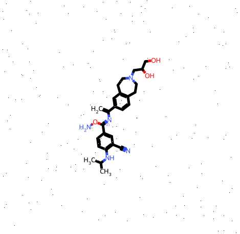 C=C(/N=C(\ON)c1ccc(NC(C)C)c(C#N)c1)c1ccc2c(c1)CCN(CC(O)CO)CC2